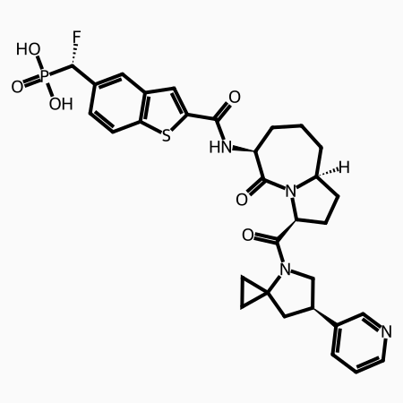 O=C(N[C@H]1CCC[C@H]2CC[C@@H](C(=O)N3C[C@@H](c4cccnc4)CC34CC4)N2C1=O)c1cc2cc([C@@H](F)P(=O)(O)O)ccc2s1